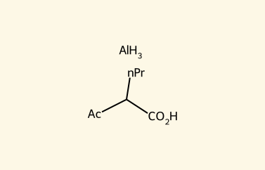 CCCC(C(C)=O)C(=O)O.[AlH3]